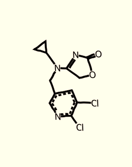 O=C1N=C(N(Cc2cnc(Cl)c(Cl)c2)C2CC2)CO1